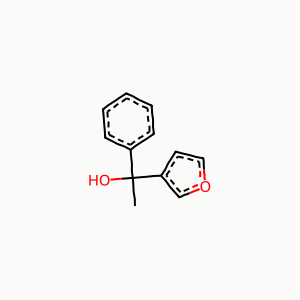 CC(O)(c1ccccc1)c1ccoc1